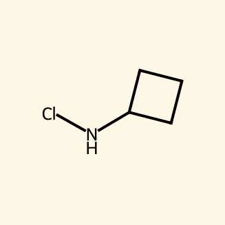 ClNC1CCC1